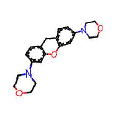 c1cc2c(cc1N1CCOCC1)Oc1cc(N3CCOCC3)ccc1C2